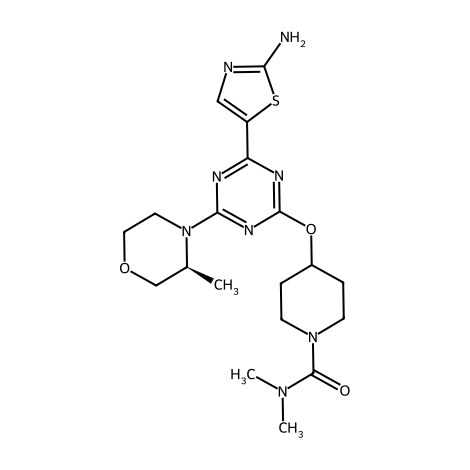 C[C@H]1COCCN1c1nc(OC2CCN(C(=O)N(C)C)CC2)nc(-c2cnc(N)s2)n1